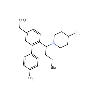 CC(C)(C)CCC(c1ccc(CC(=O)O)cc1-c1ccc(C(F)(F)F)cc1)N1CCC(C(F)(F)F)CC1